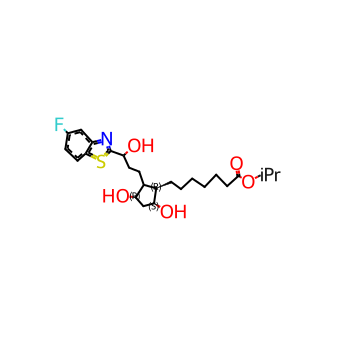 CC(C)OC(=O)CCCCCC[C@@H]1C(CCC(O)c2nc3cc(F)ccc3s2)[C@H](O)C[C@@H]1O